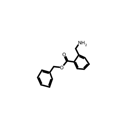 NCc1ccccc1C(=O)OCc1ccccc1